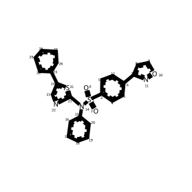 O=S(=O)(c1ccc(-c2ccon2)cc1)N(c1ccccc1)c1ncc(-c2ccccc2)s1